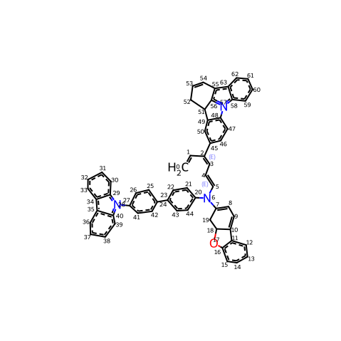 C=C/C(=C\C=C\N(C1=CC=C2c3ccccc3OC2C1)c1ccc(-c2ccc(-n3c4ccccc4c4ccccc43)cc2)cc1)c1ccc2c(c1)C1CC=Cc3c1n-2c1ccccc31